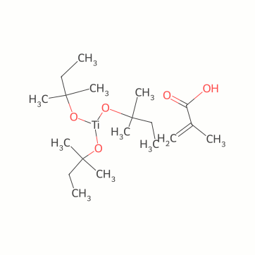 C=C(C)C(=O)O.CCC(C)(C)[O][Ti]([O]C(C)(C)CC)[O]C(C)(C)CC